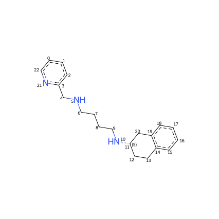 c1ccc(CNCCCCN[C@H]2CCc3ccccc3C2)nc1